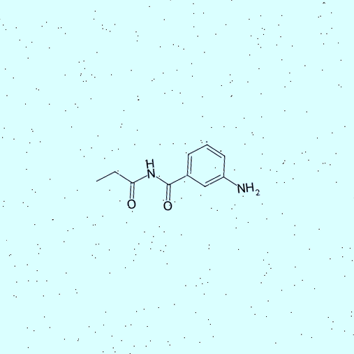 CCC(=O)NC(=O)c1c[c]cc(N)c1